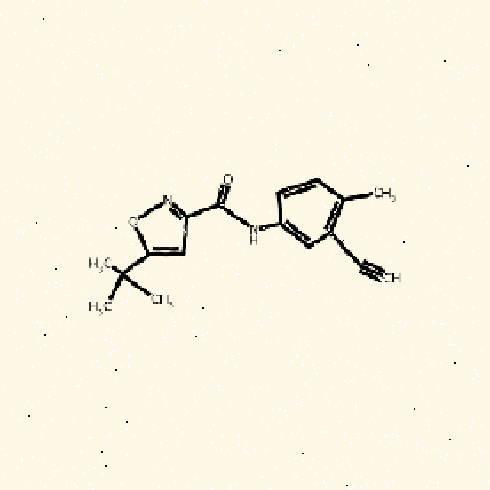 C#Cc1cc(NC(=O)c2cc(C(C)(C)C)on2)ccc1C